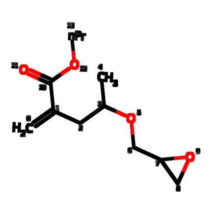 C=C(CC(C)OCC1CO1)C(=O)OCCC